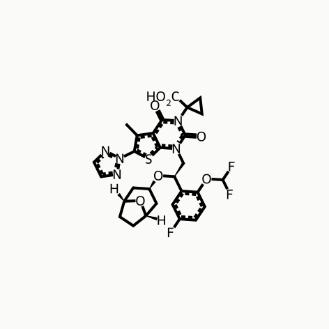 Cc1c(-n2nccn2)sc2c1c(=O)n(C1(C(=O)O)CC1)c(=O)n2C[C@H](O[C@@H]1C[C@H]2CC[C@@H](C1)O2)c1cc(F)ccc1OC(F)F